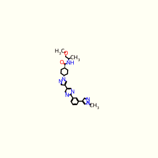 COCC(C)NC(=O)[C@H]1CC[C@H](n2cc(-c3cnc(-c4cccc(-c5cnn(C)c5)c4)nc3)cn2)CC1